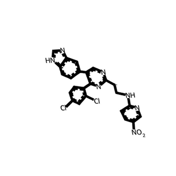 O=[N+]([O-])c1ccc(NC[CH]c2ncc(-c3ccc4[nH]cnc4c3)c(-c3ccc(Cl)cc3Cl)n2)nc1